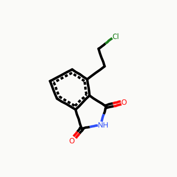 O=C1NC(=O)c2c(CCCl)cccc21